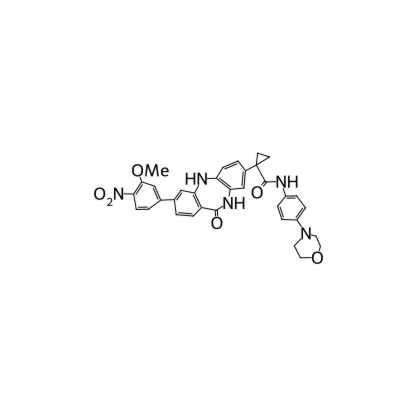 COc1cc(-c2ccc3c(c2)Nc2ccc(C4(C(=O)Nc5ccc(N6CCOCC6)cc5)CC4)cc2NC3=O)ccc1[N+](=O)[O-]